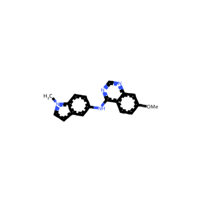 COc1[c]cc2c(Nc3ccc4c(ccn4C)c3)ncnc2c1